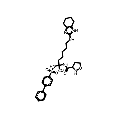 O=C(NC(CCCCCNc1nc2c([nH]1)CCCC2)(NS(=O)(=O)c1ccc(-c2ccccc2)cc1)C(=O)O)C1CCON1